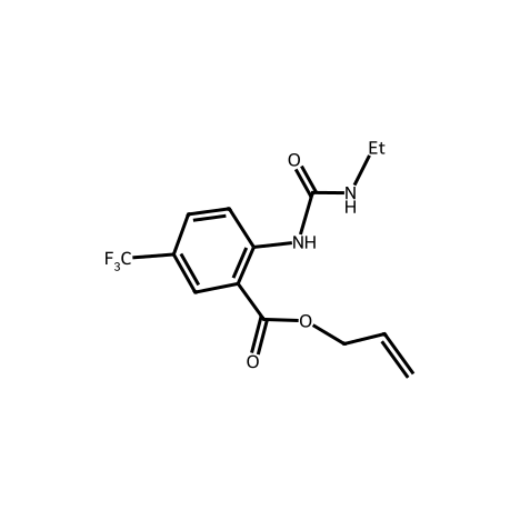 C=CCOC(=O)c1cc(C(F)(F)F)ccc1NC(=O)NCC